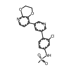 CS(=O)(=O)Nc1ccc(-c2cncc(-c3ccnc4c3OCCO4)c2)c(Cl)c1